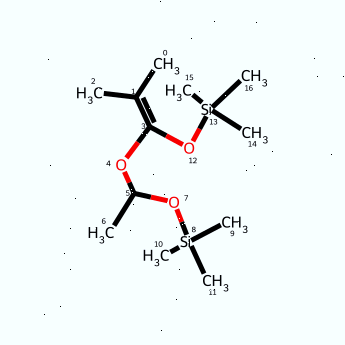 CC(C)=C(OC(C)O[Si](C)(C)C)O[Si](C)(C)C